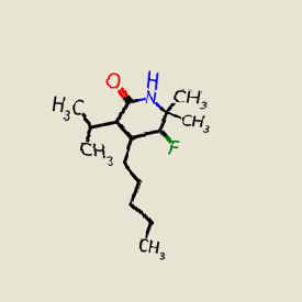 CCCCCC1C(C(C)C)C(=O)NC(C)(C)C1F